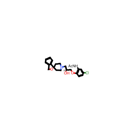 CC(=O)Nc1cc(Cl)ccc1OC[C@@H](O)CN1CCC2(CC1)OCc1ccccc12